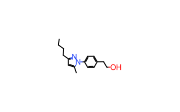 CCCCc1cc(C)n(-c2ccc(CCO)cc2)n1